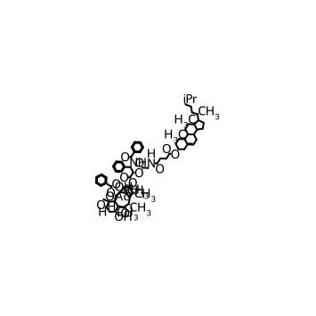 CC(=O)O[C@@]12CO[C@@H]1C[C@H](O)[C@@]1(C)C(=O)[C@H](C)C3=C(C)C(OC(=O)[C@H](OC(=O)CNC(=O)CCC(=O)O[C@H]4CC[C@@]5(C)C(=CCC6C7CCC(C(C)CCCC(C)C)[C@@]7(C)CCC65)C4)[C@@H](NC(=O)c4ccccc4)c4ccccc4)C[C@@](O)([C@@H](OC(=O)c4ccccc4)[C@H]21)C3(C)C